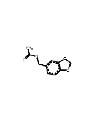 NC(=O)OCc1ccc2c(c1)OCO2